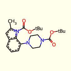 Cc1cc2cccc(N3CCN(C(=O)OC(C)(C)C)CC3)c2n1C(=O)OC(C)(C)C